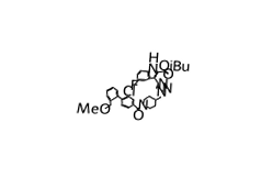 COCc1ccccc1-c1ccc(C(=O)N2CCC(Cn3cc(-c4c(C(=O)OCC(C)C)[nH]c5ccc(F)cc45)nn3)CC2)cc1Cl